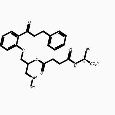 CCCNCC(COc1ccccc1C(=O)CCc1ccccc1)OC(=O)CCC(=O)N[C@H](C(=O)O)C(C)C